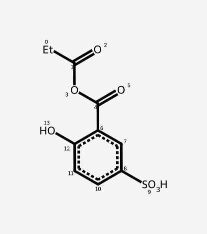 CCC(=O)OC(=O)c1cc(S(=O)(=O)O)ccc1O